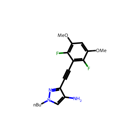 CCCCn1cc(N)c(C#Cc2c(F)c(OC)cc(OC)c2F)n1